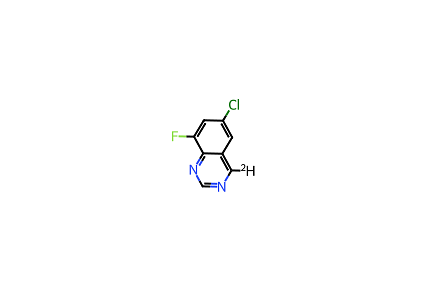 [2H]c1ncnc2c(F)cc(Cl)cc12